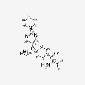 CC(C)[C@H](N)C(=O)N1CCC(Oc2cnc(N3CCCCC3)nc2)CC1.Cl.Cl